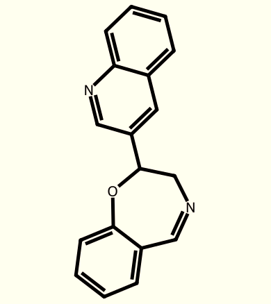 C1=NCC(c2cnc3ccccc3c2)Oc2ccccc21